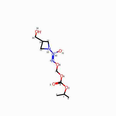 CC(C)OC(=O)OCON=[N+]([O-])N1CC(CO)C1